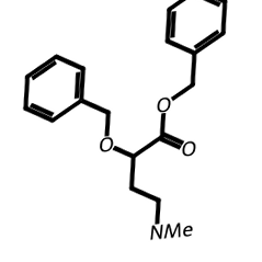 CNCCC(OCc1ccccc1)C(=O)OCc1ccccc1